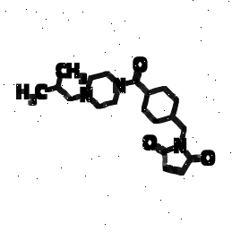 CC(C)CN1CCN(C(=O)C2CCC(CN3C(=O)C=CC3=O)CC2)CC1